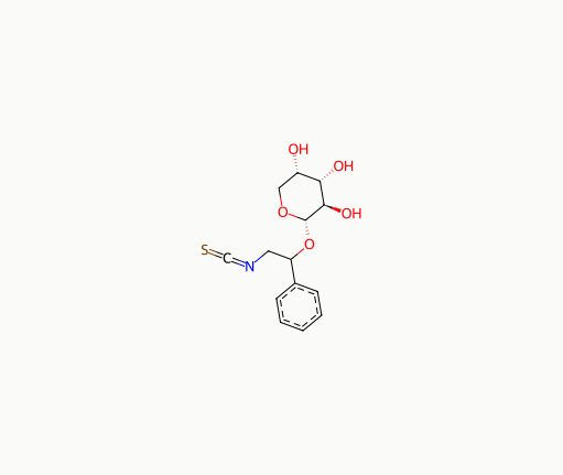 O[C@@H]1[C@@H](O)[C@H](OC(CN=C=S)c2ccccc2)OC[C@@H]1O